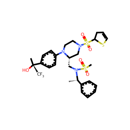 C[C@@H](c1ccccc1)N(C[C@H]1CN(S(=O)(=O)C2CC=CS2)CCN1c1ccc([C@@](C)(O)C(F)(F)F)cc1)S(C)(=O)=O